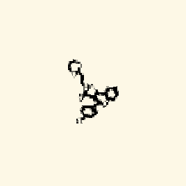 O=c1c2c(-c3ccc(Cl)cc3)oc3ccccc3c-2nn1CCC1OCCCO1